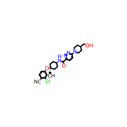 C#C[C@]1(Oc2ccc(C#N)c(Cl)c2)CC[C@@H](NC(=O)c2ccc(N3CCC(CO)CC3)nn2)CC1